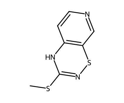 CSC1=NSc2cnccc2N1